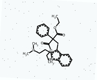 CCOC(=O)C(Cc1c(CCN(C)C)[nH]c2ccccc12)(C(=O)OCC)c1ccccc1